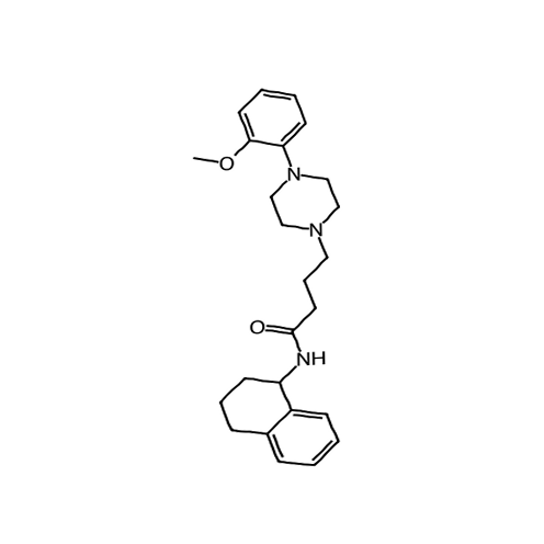 COc1ccccc1N1CCN(CCCC(=O)NC2CCCc3ccccc32)CC1